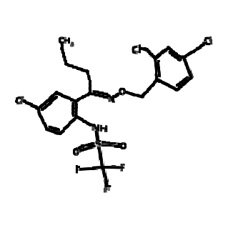 CCC/C(=N\OCc1ccc(Cl)cc1Cl)c1cc(Cl)ccc1NS(=O)(=O)C(F)(F)F